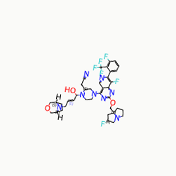 N#CC[C@H]1CN(c2nc(OC[C@@]34CCCN3C[C@H](F)C4)nc3c(F)c(-c4cccc(F)c4C(F)(F)F)ncc23)CCN1C(O)/C=C/CN1[C@@H]2CC[C@H]1COC2